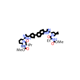 CC[C@H]1CCC[C@@H](c2ncc(-c3ccc(-c4ccc5cc(-c6cnc([C@@H]7CC8(CC8)CN7C(=O)[C@H](CC)NC(=O)OC)[nH]6)ccc5c4)cc3)[nH]2)N1C(=O)[C@@H](NC(=O)OC)C(C)C